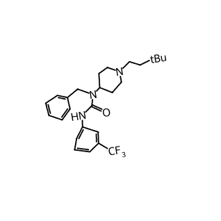 CC(C)(C)CCN1CCC(N(Cc2ccccc2)C(=O)Nc2cccc(C(F)(F)F)c2)CC1